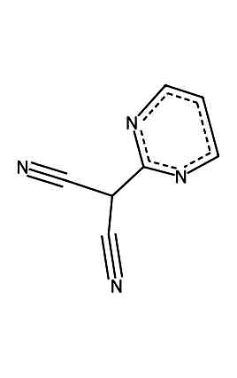 N#CC(C#N)c1ncccn1